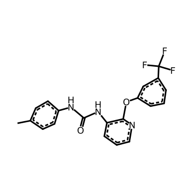 Cc1ccc(NC(=O)Nc2cccnc2Oc2cccc(C(F)(F)F)c2)cc1